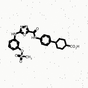 CS(=O)(=O)Oc1cccc(Nc2nnc(C(=O)Nc3ccc(C4CCC(C(=O)O)CC4)cc3)o2)c1